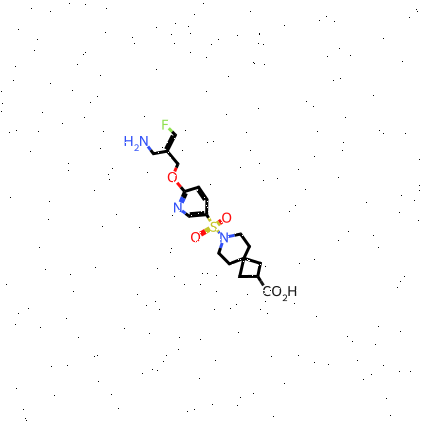 NC/C(=C\F)COc1ccc(S(=O)(=O)N2CCC3(CC2)CC(C(=O)O)C3)cn1